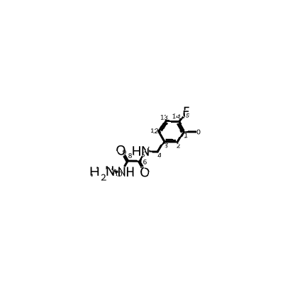 Cc1cc(CNC(=O)C(=O)NN)ccc1F